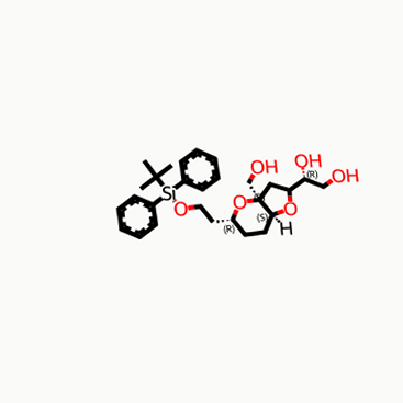 CC(C)(C)[Si](OCC[C@H]1CC[C@@H]2OC([C@H](O)CO)C[C@]2(CO)O1)(c1ccccc1)c1ccccc1